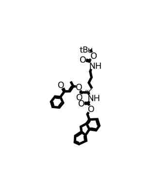 CC(=CC(=O)c1ccccc1)OC(=O)[C@H](CCCCNC(=O)OC(C)(C)C)NC(=O)OCc1cccc2c1Cc1ccccc1-2